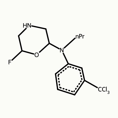 CCCN(c1cccc(C(Cl)(Cl)Cl)c1)C1CNCC(F)O1